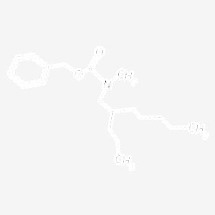 CCCCCC(CCC)CN(C)C(=O)OCc1ccccc1